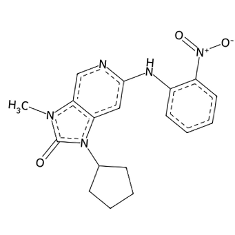 Cn1c(=O)n(C2CCCC2)c2cc(Nc3ccccc3[N+](=O)[O-])ncc21